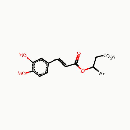 CC(=O)C(CC(=O)O)OC(=O)/C=C/c1ccc(O)c(O)c1